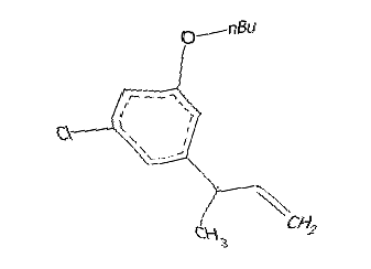 C=C[C](C)c1cc(Cl)cc(OCCCC)c1